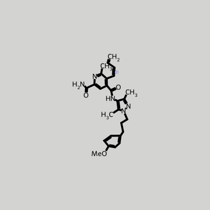 C=C/C=C\c1c(C(=O)Nc2c(C)nn(CCCc3ccc(OC)cc3)c2C)cc(C(N)=O)nc1C